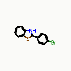 Brc1ccc(C2Nc3ccccc3S2)cc1